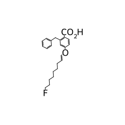 O=C(O)c1ccc(OC=CCCCCCCCF)cc1Cc1ccccc1